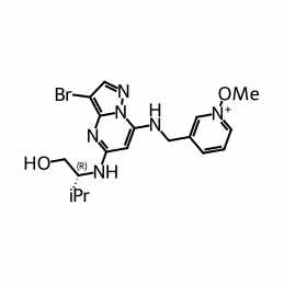 CO[n+]1cccc(CNc2cc(N[C@@H](CO)C(C)C)nc3c(Br)cnn23)c1